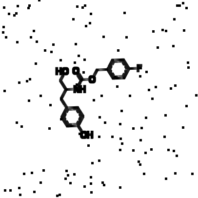 O=C(NC(CO)Cc1ccc(O)cc1)OCc1ccc(F)cc1